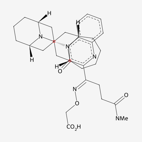 CNC(=O)CC/C(=N\OCC(=O)O)c1nc2ccccc2n([C@H]2C[C@H]3CCC[C@@H](C2)N3C2C[C@H]3CCCC[C@@H](C2)C3)c1=O